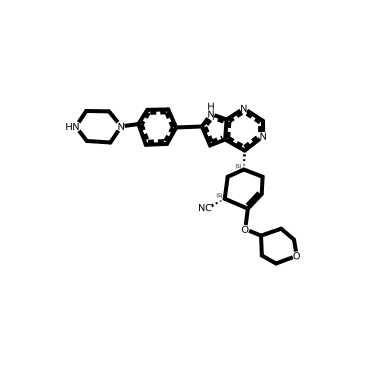 N#C[C@@H]1C[C@H](c2ncnc3[nH]c(-c4ccc(N5CCNCC5)cc4)cc23)CC=C1OC1CCOCC1